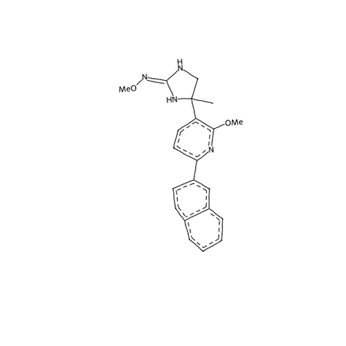 CO/N=C1/NCC(C)(c2ccc(-c3ccc4ccccc4c3)nc2OC)N1